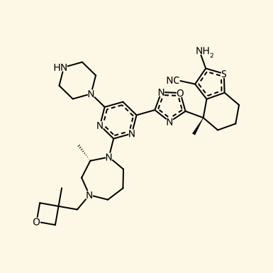 C[C@H]1CN(CC2(C)COC2)CCCN1c1nc(-c2noc([C@@]3(C)CCCc4sc(N)c(C#N)c43)n2)cc(N2CCNCC2)n1